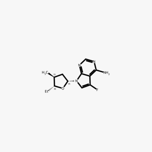 CC[C@H]1O[C@@H](n2cc(F)c3c(N)ncnc32)C[C@@H]1C